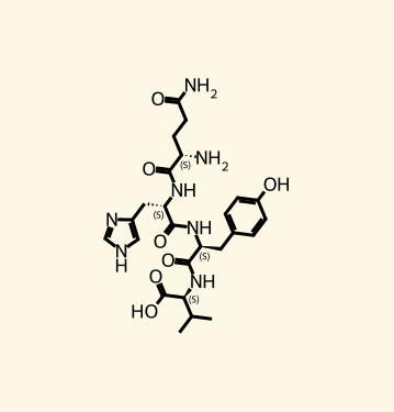 CC(C)[C@H](NC(=O)[C@H](Cc1ccc(O)cc1)NC(=O)[C@H](Cc1c[nH]cn1)NC(=O)[C@@H](N)CCC(N)=O)C(=O)O